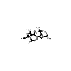 Cc1nc(C=O)n(C(F)F)c1C(=O)NC1CN(C(=O)O)C1C(C)(C)C